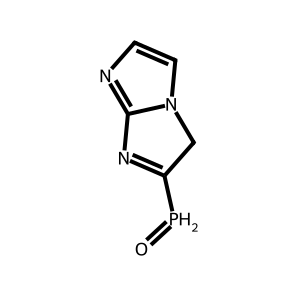 O=[PH2]C1=Nc2nccn2C1